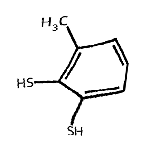 Cc1cccc(S)c1S